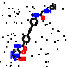 N#CCNCC(=O)Nc1ccc(C#Cc2ccc(C(=O)N[C@@H](CN)C(=O)NO)cc2)cc1